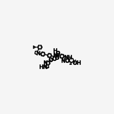 C[C@]1(O)CC[C@H](CNc2ccc(S(=O)(=O)NC(=O)c3ccc(-c4ccc(N5CCC[C@H]5c5ccccc5C5CC5)cc4)cc3Oc3cnc4[nH]ccc4c3)cc2[N+](=O)[O-])CC1